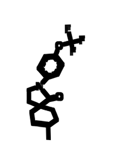 CC1=CCC2(CC1)CCN(c1ccc(OC(F)(F)F)cc1)C2=O